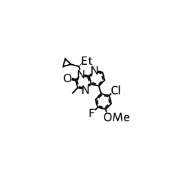 CC[C@@H](C1CC1)n1c(=O)c(C)nc2c(-c3cc(F)c(OC)cc3Cl)ccnc21